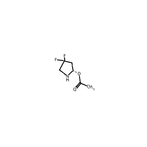 CC(=O)O[C@H]1CC(F)(F)CN1